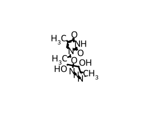 CCC(O)C(CO)(N=[N+]=[N-])OC(C)n1cc(C)c(=O)[nH]c1=O